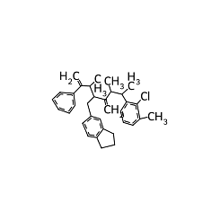 C=C(c1ccccc1)C(C)C(Cc1ccc2c(c1)CCC2)C(=C)C(C)C(C)c1cccc(C)c1Cl